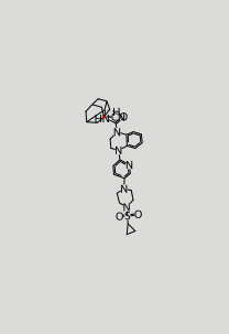 N#C[C@]12CC3CC(C1)[C@H](NC(=O)N1CCN(c4ccc(N5CCN(S(=O)(=O)C6CC6)CC5)cn4)c4ccccc41)C(C3)C2